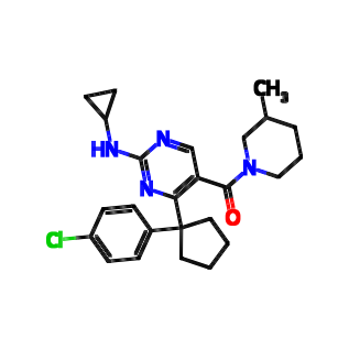 CC1CCCN(C(=O)c2cnc(NC3CC3)nc2C2(c3ccc(Cl)cc3)CCCC2)C1